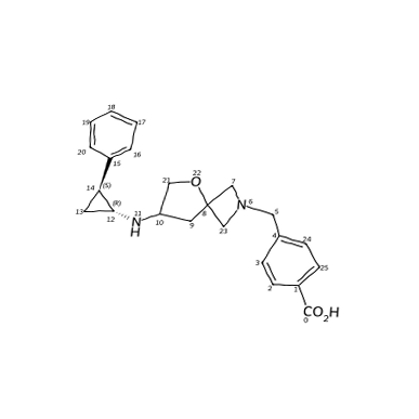 O=C(O)c1ccc(CN2CC3(CC(N[C@@H]4C[C@H]4c4ccccc4)CO3)C2)cc1